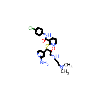 CN(C)CCCNCC(=O)C(Sc1ncccc1C(=O)Nc1ccc(Cl)cc1)c1ccnc(N)c1